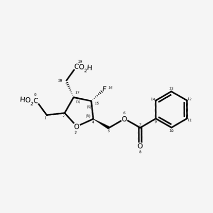 O=C(O)CC1O[C@H](COC(=O)c2ccccc2)[C@@H](F)[C@H]1CC(=O)O